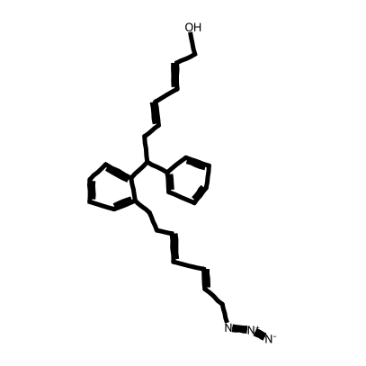 [N-]=[N+]=NC/C=C/C=C/CCc1ccccc1C(CC=CC=CCO)c1ccccc1